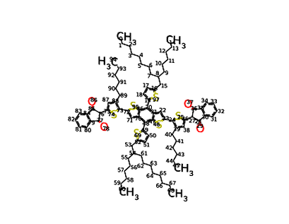 CCCCCCCCC(CCCCCC)Cc1ccc(-c2c3cc(-c4sc(C5C(=O)c6ccccc6C5=O)cc4CCCCCC)sc3c(-c3ccc(CC(CCCCCC)CCCCCCCC)s3)c3cc(-c4sc(C5C(=O)c6ccccc6C5=O)cc4CCCCCC)sc23)s1